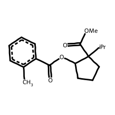 COC(=O)C1(C(C)C)CCCC1OC(=O)c1ccccc1C